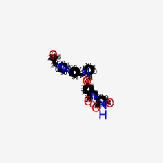 [2H]C1(N2Cc3cc(OC[C@H]4CCCCN4Cc4ccc(N5CCN(CC6COC6)CC5)cc4)ccc3C2=O)CCC(=O)NC1=O